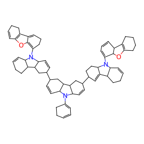 C1=CCCC(N2C3C=CC(C4C=C5C6CCC=CC6N(C6=CC=CC7C8=C(CCCC8)OC67)C5CC4)CC3C3CC(C4C=CC5C(C4)C4CCC=CC4N5C4=c5oc6c(c5=CCC4)CCC=C6)C=CC32)=C1